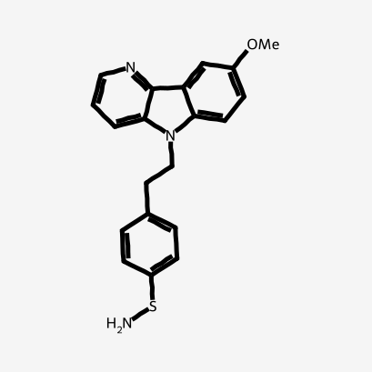 COc1ccc2c(c1)c1ncccc1n2CCc1ccc(SN)cc1